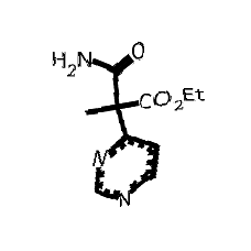 CCOC(=O)C(C)(C(N)=O)c1ccncn1